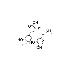 CC(C)(C)N(CCc1ccc(O)c(O)c1)C(=O)O.NCCc1ccc(O)c(O)c1